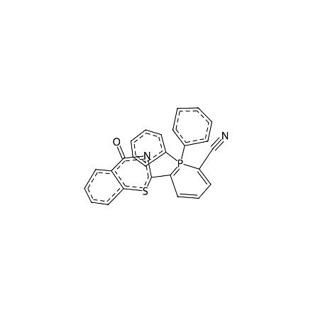 N#CC1=CC=CC(c2nc(=O)c3ccccc3s2)=P1(c1ccccc1)c1ccccc1